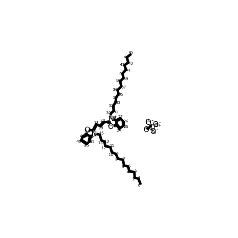 CCCCCCCCCCCCCCCCN1C(=CC=Cc2oc3ccccc3[n+]2CCCCCCCCCCCCCCCC)Oc2ccccc21.[O-][Cl+3]([O-])([O-])[O-]